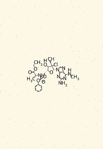 C#C[C@@]1(Cl)[C@H](O)[C@@H](CO[P@](=O)(N[C@@H](C)C(=O)OCC)Oc2ccccc2)O[C@H]1n1cnc2c(NC)nc(N)nc21